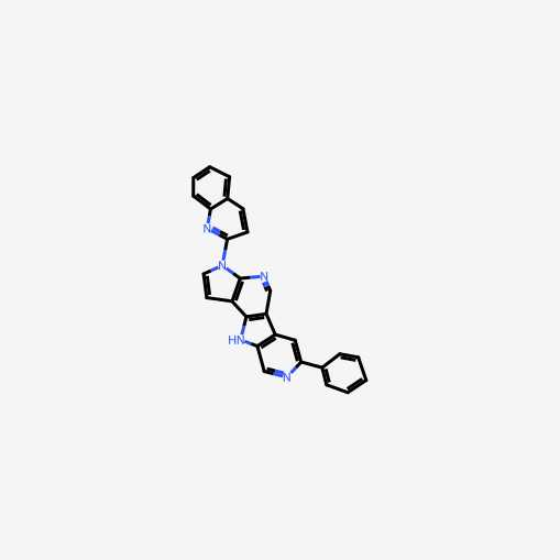 c1ccc(-c2cc3c(cn2)[nH]c2c3cnc3c2ccn3-c2ccc3ccccc3n2)cc1